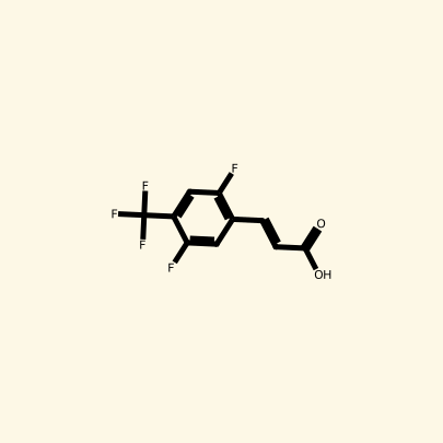 O=C(O)C=Cc1cc(F)c(C(F)(F)F)cc1F